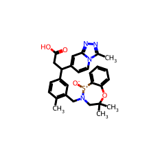 Cc1ccc(C(CC(=O)O)c2ccn3c(C)nnc3c2)cc1CN1CC(C)(C)Oc2ccccc2[S+]1[O-]